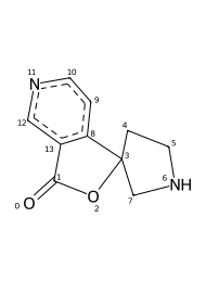 O=C1OC2(CCNC2)c2ccncc21